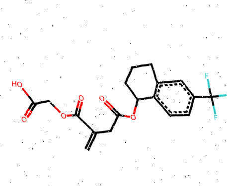 C=C(CC(=O)OC1CCCc2cc(C(F)(F)F)ccc21)C(=O)OCC(=O)O